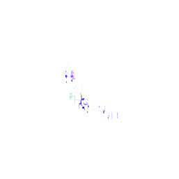 [2H]C([2H])(c1ccc(-c2nnc(C(F)F)o2)cc1F)n1cc(-c2ccc(N)nc2)nn1